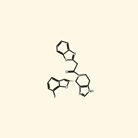 O=C(Cc1nc2ccccc2s1)N1CCc2[nH]cnc2[C@@H]1c1cc2cccc(F)c2o1